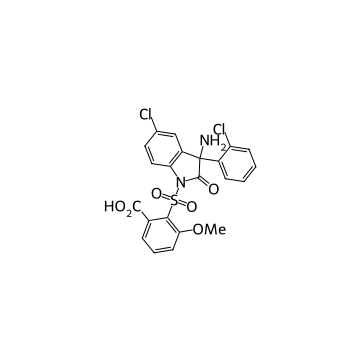 COc1cccc(C(=O)O)c1S(=O)(=O)N1C(=O)C(N)(c2ccccc2Cl)c2cc(Cl)ccc21